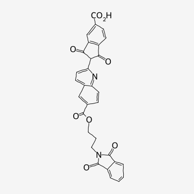 O=C(O)c1ccc2c(c1)C(=O)C(c1ccc3cc(C(=O)OCCCN4C(=O)c5ccccc5C4=O)ccc3n1)C2=O